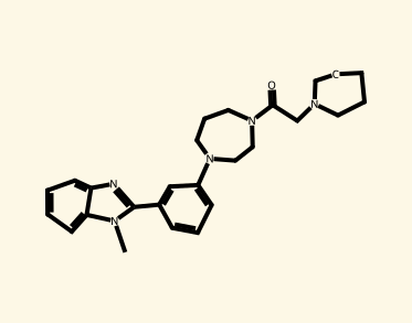 Cn1c(-c2cccc(N3CCCN(C(=O)CN4CCCCC4)CC3)c2)nc2ccccc21